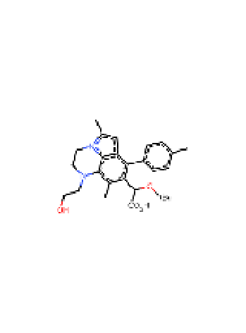 Cc1ccc(-c2c(C(OC(C)(C)C)C(=O)O)c(C)c3c4c2cc(C)n4CCN3CCO)cc1